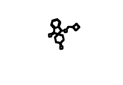 O=C1CCC2(CC1)C(=O)c1ccccc1C2OCC1CCC1